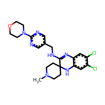 CN1CCC2(CC1)Nc1cc(Cl)c(Cl)cc1N=C2NCc1cnc(N2CCOCC2)nc1